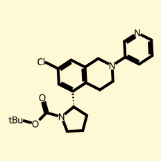 CC(C)(C)OC(=O)N1CCC[C@H]1c1cc(Cl)cc2c1CCN(c1cccnc1)C2